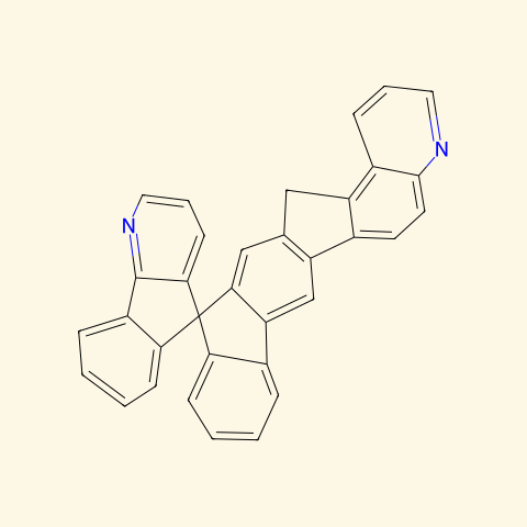 c1ccc2c(c1)-c1cc3c(cc1C21c2ccccc2-c2ncccc21)Cc1c-3ccc2ncccc12